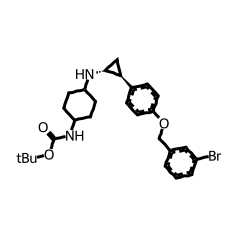 CC(C)(C)OC(=O)NC1CCC(N[C@@H]2C[C@H]2c2ccc(OCc3cccc(Br)c3)cc2)CC1